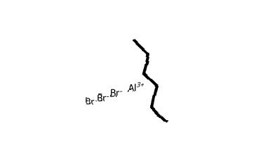 CCCCCC.[Al+3].[Br-].[Br-].[Br-]